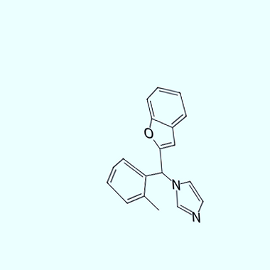 Cc1ccccc1C(c1cc2ccccc2o1)n1ccnc1